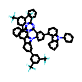 FC(F)(F)c1cc(-c2ccc3c4ccc(-c5cc(C(F)(F)F)cc(C(F)(F)F)c5)cc4n(-c4ccc(-c5cccc6c5c5ccccc5n6-c5ccccc5)cc4-c4nc(-c5ccccc5)nc(-c5ccccc5)n4)c3c2)cc(C(F)(F)F)c1